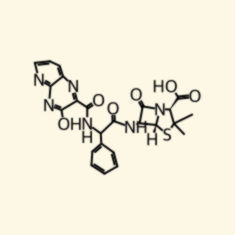 CC1(C)S[C@@H]2[C@H](NC(=O)C(NC(=O)c3nc4cccnc4nc3O)c3ccccc3)C(=O)N2[C@H]1C(=O)O